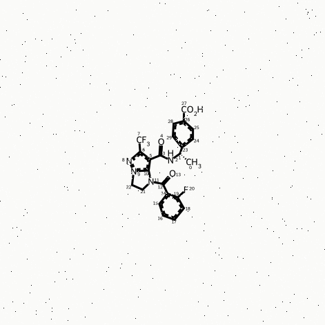 C[C@H](NC(=O)c1c(C(F)(F)F)nn2c1N(C(=O)c1ccccc1F)CC2)c1ccc(C(=O)O)cc1